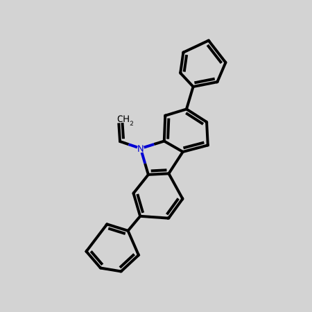 C=Cn1c2cc(-c3ccccc3)ccc2c2ccc(-c3ccccc3)cc21